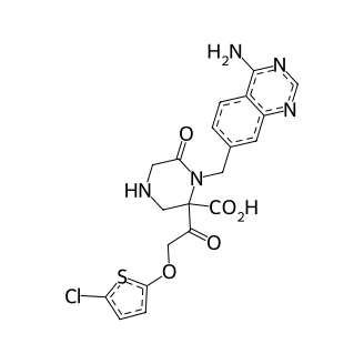 Nc1ncnc2cc(CN3C(=O)CNCC3(C(=O)O)C(=O)COc3ccc(Cl)s3)ccc12